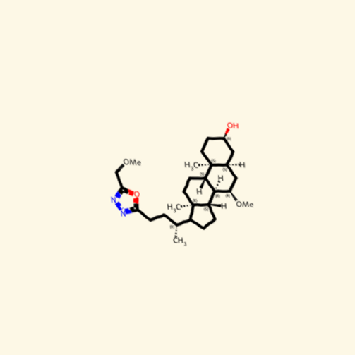 COCc1nnc(CC[C@@H](C)C2CC[C@H]3[C@@H]4[C@H](OC)C[C@@H]5C[C@H](O)CC[C@]5(C)[C@H]4CC[C@]23C)o1